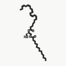 CC/C=C\C/C=C\C/C=C\C/C=C\C/C=C\CCCCCC(=O)O[C@@H](CO)COC(=O)CCCCCCCCCCCCC